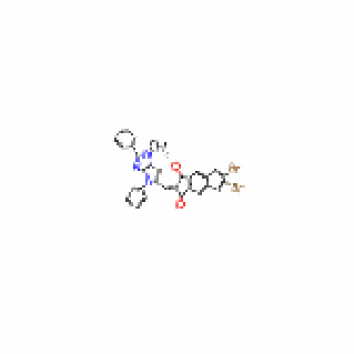 Cn1c(-c2ccccc2)nc2c1cc(C=C1C(=O)c3cc4cc(Br)c(Br)cc4cc3C1=O)n2-c1ccccc1